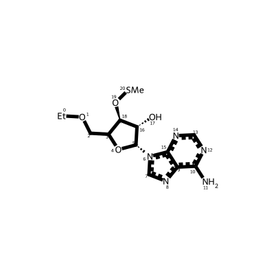 CCOCC1O[C@@H](n2cnc3c(N)ncnc32)[C@@H](O)[C@@H]1OSC